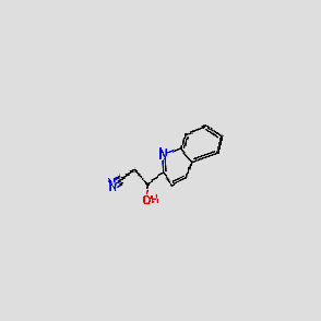 N#CCC(O)c1ccc2ccccc2n1